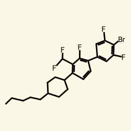 CCCCCC1CCC(c2ccc(-c3cc(F)c(Br)c(F)c3)c(F)c2C(F)F)CC1